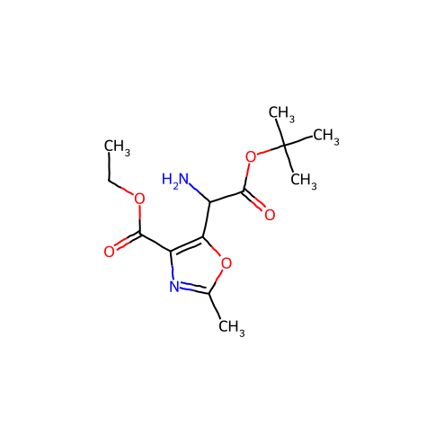 CCOC(=O)c1nc(C)oc1C(N)C(=O)OC(C)(C)C